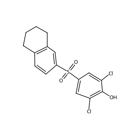 O=S(=O)(c1cc(Cl)c(O)c(Cl)c1)c1ccc2c(c1)CCCC2